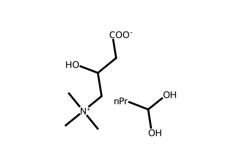 CCCC(O)O.C[N+](C)(C)CC(O)CC(=O)[O-]